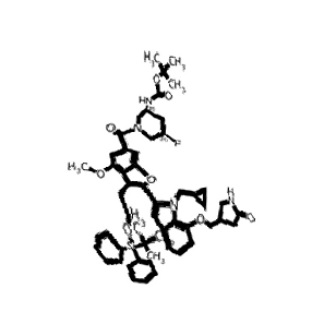 COc1cc(C(=O)N2C[C@H](F)C[C@@H](NC(=O)OC(C)(C)C)C2)cc2oc(-c3cc4cccc(OCC5CNC(=O)C5)c4n3CC3CC3)c(CCO[Si](c3ccccc3)(c3ccccc3)C(C)(C)C)c12